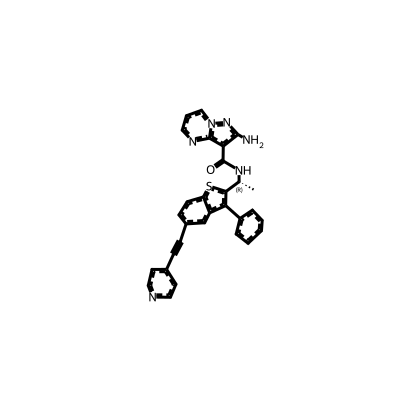 C[C@@H](NC(=O)c1c(N)nn2cccnc12)c1sc2ccc(C#Cc3ccncc3)cc2c1-c1ccccc1